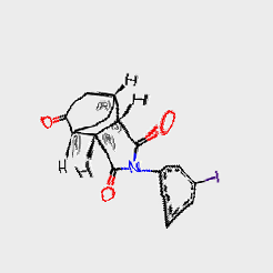 O=C1C[C@H]2CC[C@@H]1[C@H]1C(=O)N(c3cccc(I)c3)C(=O)[C@@H]21